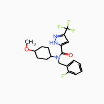 COC1CCC(N(Cc2ccccc2F)C(=O)c2cc(C(F)(F)F)n[nH]2)CC1